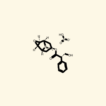 CN1[C@@H]2C[C@@H](OC(=O)[C@H](CO)c3ccccc3)C[C@H]1[C@@H]1O[C@H]12.O=[N+]([O-])O